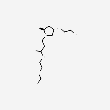 CCOCCNC(O)CCN1C[C@@H](SCCO)CC1=O